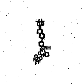 CC1(C)OB(c2ccc3cc(-c4ccc5nc(C6CCCN6C(=O)OC(=O)C(F)(F)F)[nH]c5c4)ccc3c2)OC1(C)C